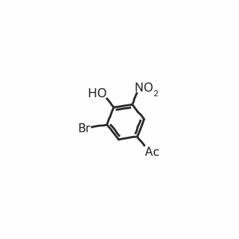 CC(=O)c1cc(Br)c(O)c([N+](=O)[O-])c1